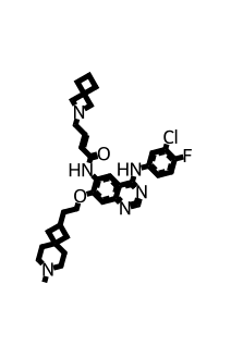 CN1CCC2(CC1)CC(CCOc1cc3ncnc(Nc4ccc(F)c(Cl)c4)c3cc1NC(=O)C=CCN1CC3(CCC3)C1)C2